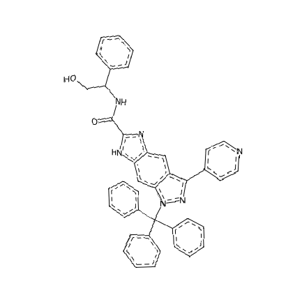 O=C(NC(CO)c1ccccc1)c1nc2cc3c(-c4ccncc4)nn(C(c4ccccc4)(c4ccccc4)c4ccccc4)c3cc2[nH]1